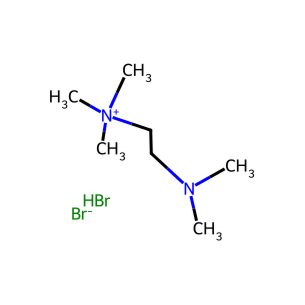 Br.CN(C)CC[N+](C)(C)C.[Br-]